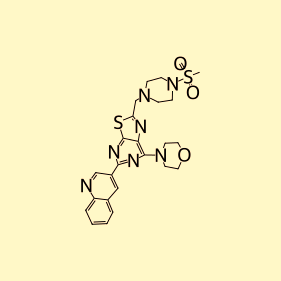 CS(=O)(=O)N1CCN(Cc2nc3c(N4CCOCC4)nc(-c4cnc5ccccc5c4)nc3s2)CC1